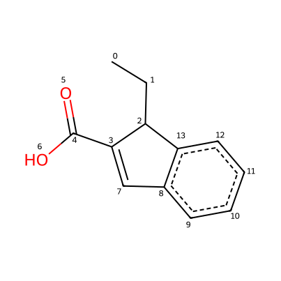 CCC1C(C(=O)O)=Cc2ccccc21